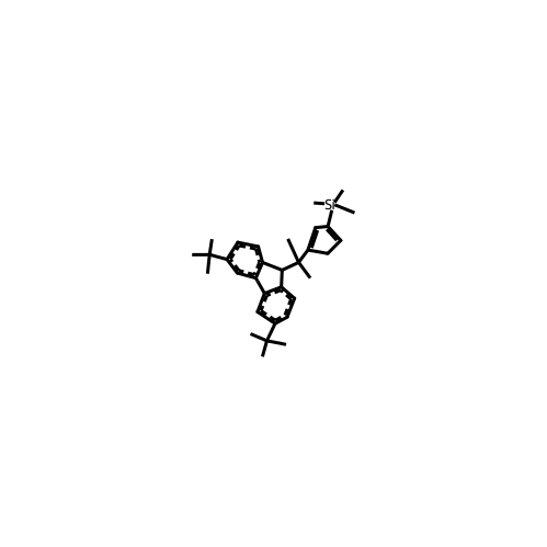 CC(C)(C)c1ccc2c(c1)-c1cc(C(C)(C)C)ccc1C2C(C)(C)C1=CC([Si](C)(C)C)=CC1